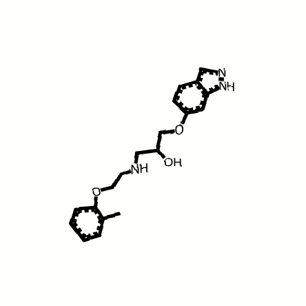 Cc1ccccc1OCCNCC(O)COc1ccc2cn[nH]c2c1